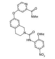 CNC(=O)c1cc(Oc2ccc3c(c2)CN(C(=O)Nc2cc([N+](=O)[O-])ccc2OC)CC3)ccn1